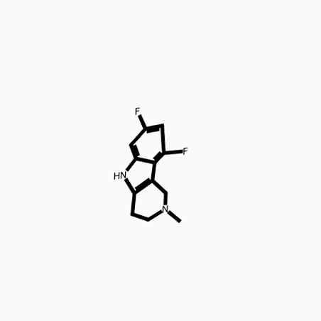 CN1CCc2[nH]c3cc(F)cc(F)c3c2C1